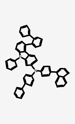 c1ccc(-c2ccc(N(c3ccc(-c4cccc5ccccc45)cc3)c3ccc4c5c(-c6ccccc6-c6ccccc6)cccc5n(-c5ccccc5)c4c3)cc2)cc1